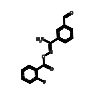 N/C(=N\OC(=O)c1ccccc1F)c1cccc(C=O)c1